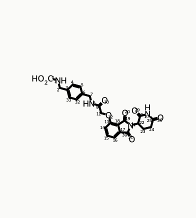 O=C(O)NCc1ccc(CNC(=O)COc2cccc3c2C(=O)N(C2CCC(=O)NC2=O)C3=O)cc1